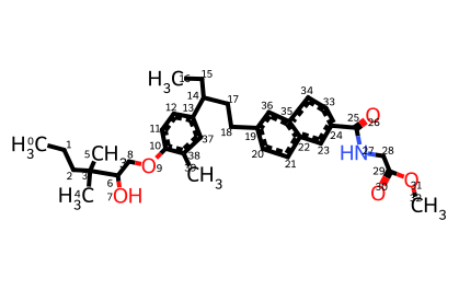 CCCC(C)(C)C(O)COc1ccc(C(CC)CCc2ccc3cc(C(=O)NCC(=O)OC)ccc3c2)cc1C